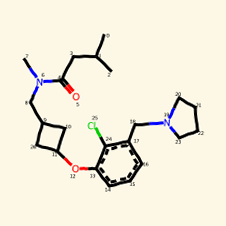 CC(C)CC(=O)N(C)CC1CC(Oc2cccc(CN3CCCC3)c2Cl)C1